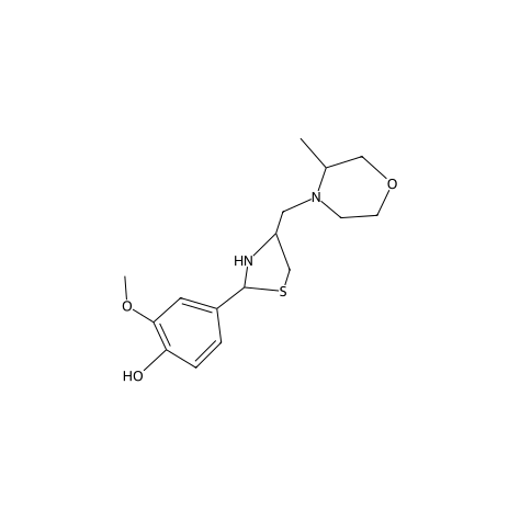 COc1cc(C2NC(CN3CCOCC3C)CS2)ccc1O